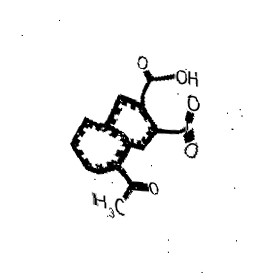 CC(=O)c1cccc2cc(C(=O)O)c(I(=O)=O)cc12